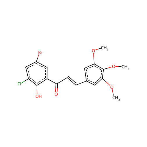 COc1cc(C=CC(=O)c2cc(Br)cc(Cl)c2O)cc(OC)c1OC